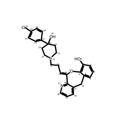 Oc1cccc2c1OC(=CCCN1CCC(O)(c3ccc(Cl)cc3)CC1)c1ncccc1C2